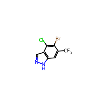 FC(F)(F)c1cc2[nH]ncc2c(Cl)c1Br